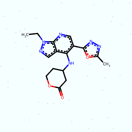 CCn1ncc2c(NC3CCOC(=O)C3)c(-c3nnc(C)o3)cnc21